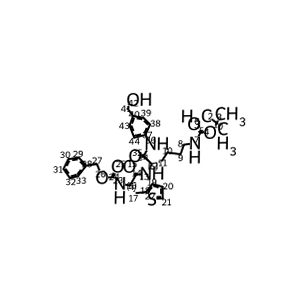 CC(C)(C)OC(=O)NCCCC[C@H](NC(=O)[C@H](Cc1cccs1)NC(=O)OCc1ccccc1)C(=O)Nc1ccc(CO)cc1